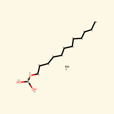 CCCCCCCCCCCCOB(O)O.[KH]